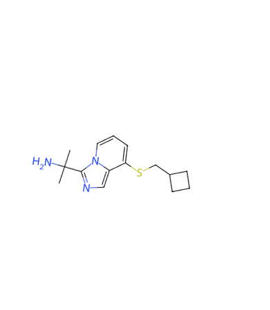 CC(C)(N)c1ncc2c(SCC3CCC3)cccn12